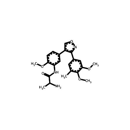 COc1ccc(-c2conc2-c2cc(C)c(OC)c(OC)c2)cc1NC(=O)C(C)N